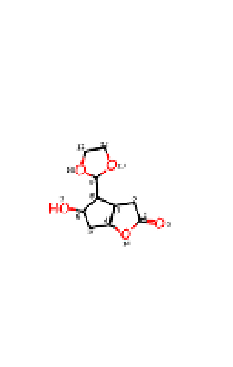 O=C1CC2C(CC(O)C2C2OCCO2)O1